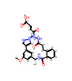 COc1cc(-c2cnn(C)c2)cc([C@@H](C)NC(=O)c2ccccc2CCC(=O)NNC(=O)/C=C/C(=O)O)c1